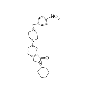 O=C1c2cc(N3CCN(Cc4ccc([N+](=O)[O-])cc4)CC3)ccc2CN1C1CCCCC1